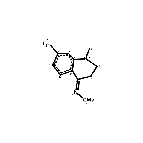 CON=C1CCN(C)c2cc(C(F)(F)F)ccc21